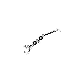 CCCCCCCCCCOc1ccc(C(=O)Oc2ccc(OCC(C)OCCC)cc2)cc1